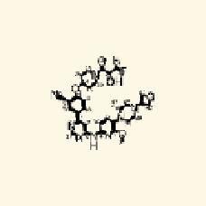 COc1nc(Nc2cc(-c3ccc(OC4CCN(C(=O)[C@H](O)C(F)F)CC4)c(C#N)c3)ncn2)ccc1N1CCN(C2COC2)C[C@H]1C